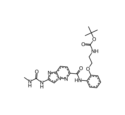 CNC(=O)Nc1cn2nc(C(=O)Nc3ccccc3OCCNC(=O)OC(C)(C)C)ccc2n1